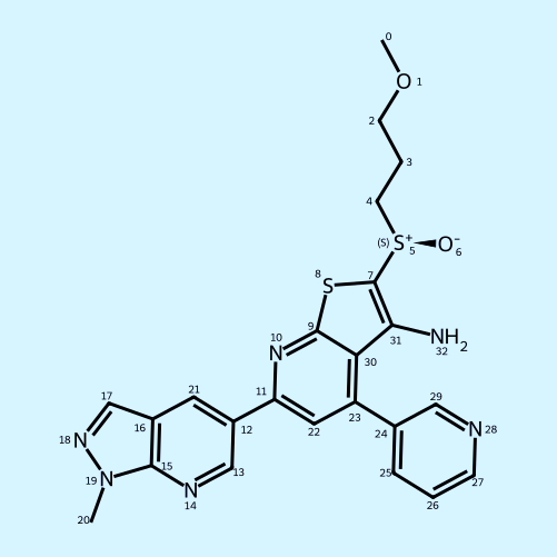 COCCC[S@@+]([O-])c1sc2nc(-c3cnc4c(cnn4C)c3)cc(-c3cccnc3)c2c1N